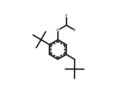 CC(C)(C)Cc1ccc(C(C)(C)C)c(OC(F)F)c1